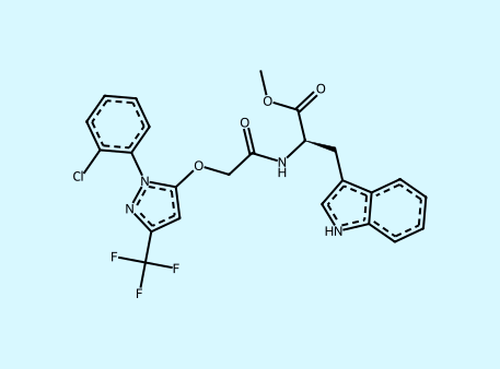 COC(=O)[C@@H](Cc1c[nH]c2ccccc12)NC(=O)COc1cc(C(F)(F)F)nn1-c1ccccc1Cl